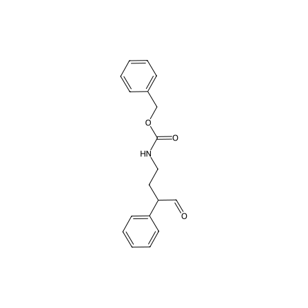 O=CC(CCNC(=O)OCc1ccccc1)c1ccccc1